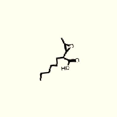 CCCCCCC(C(=O)O)C1OC1C